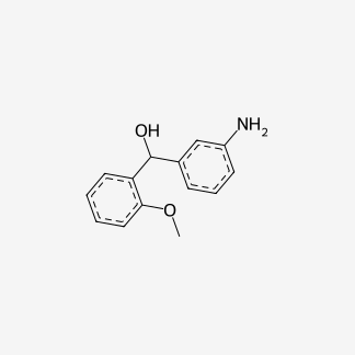 COc1ccccc1C(O)c1cccc(N)c1